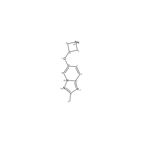 Cc1nc2ccc(OC3CNC3)cn2n1